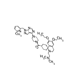 CCOc1cc2c(cc1OCC)[C@]1(CC[C@H](C(=O)N3CCN(c4ncnc5c4cnn5Cc4cccc(C)n4)CC3)CC1)N(CCN(C)C)CC2